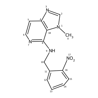 Cn1cnc2ccnc(NCc3ccccc3[N+](=O)[O-])c21